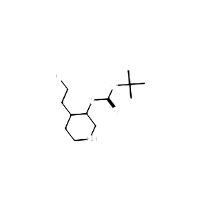 CC(C)(C)OC(=O)NC1CNCCC1CCF